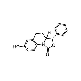 O=C1O[C@@H](c2ccccc2)[C@H]2CCc3cc(O)ccc3N12